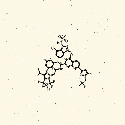 Cc1cc(-c2ccc3c(=O)n(-c4ccc(Cl)c5c(NS(C)(=O)=O)nn(C)c45)c([C@H](Cc4cc(F)cc(F)c4)NC(=O)Cn4nc(C(F)F)c5c4C(F)(F)[C@@H]4C[C@H]54)nc3n2)nn1CC(C)(F)F